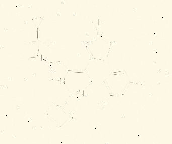 O=S(=O)(N[C@H]1CC2=C(c3nc(C(F)(F)F)co3)[C@H](c3ccc(F)cc3Cl)N=C(c3nccs3)N2C1)C1CC1